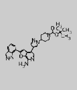 CC(C)(C)OC(=O)N1CCC(n2cc(-c3cnc(N)c4oc(-c5cccc6cnsc56)cc34)cn2)CC1